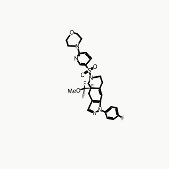 COC(F)(F)[C@]12Cc3cnn(-c4ccc(F)cc4)c3C=C1CCN(S(=O)(=O)c1ccc(N3CCOCC3)nc1)C2